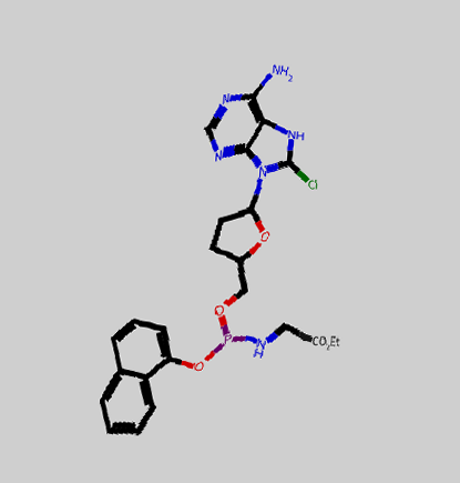 CCOC(=O)CNP(OCC1CCC(N2c3ncnc(N)c3NC2Cl)O1)Oc1cccc2ccccc12